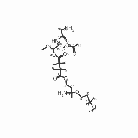 COC(OC(=O)C(C)(C)C(C)(C)C(=O)OCCC(C)(N)OCCC(C)(C)OC)[C@@H](COC(C)=O)NC(=O)CN